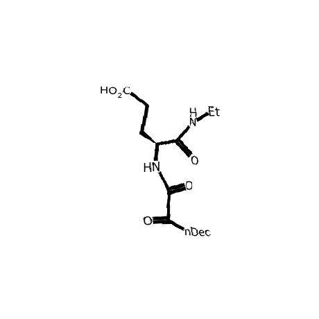 CCCCCCCCCCC(=O)C(=O)N[C@@H](CCC(=O)O)C(=O)NCC